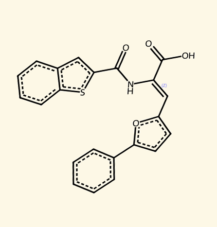 O=C(O)/C(=C/c1ccc(-c2ccccc2)o1)NC(=O)c1cc2ccccc2s1